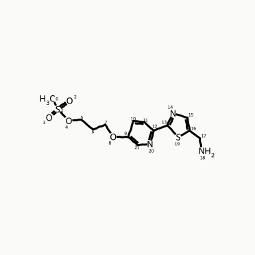 CS(=O)(=O)OCCCOc1ccc(-c2ncc(CN)s2)nc1